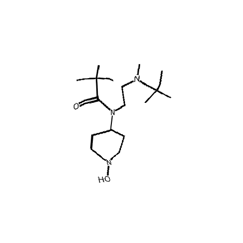 CN(CCN(C(=O)C(C)(C)C)C1CCN(O)CC1)C(C)(C)C